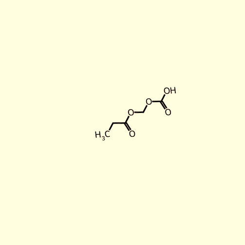 CCC(=O)OCOC(=O)O